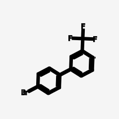 FC(F)(F)c1[c]ccc(-c2ccc(Br)cc2)c1